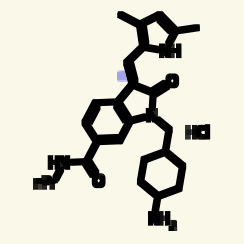 CCCNC(=O)c1ccc2c(c1)N(CC1CCC(N)CC1)C(=O)/C2=C\c1[nH]c(C)cc1C.Cl